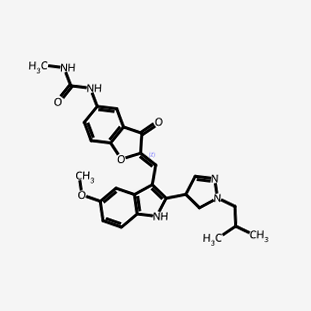 CNC(=O)Nc1ccc2c(c1)C(=O)/C(=C/c1c(C3C=NN(CC(C)C)C3)[nH]c3ccc(OC)cc13)O2